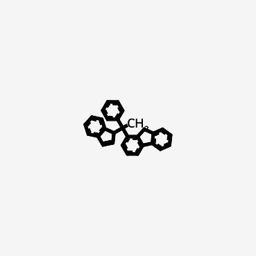 CC(c1ccccc1)(c1cccc2c1Cc1ccccc1-2)C1C=Cc2ccccc21